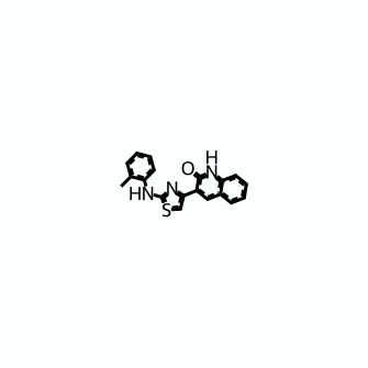 Cc1ccccc1Nc1nc(-c2cc3ccccc3[nH]c2=O)cs1